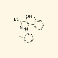 CCc1nn(-c2ccccc2C)c(-c2ccccc2C)c1O